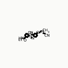 CCNC(=O)c1ccc(C)c(-n2cnc3ccc(OCCN(C)CCC#N)cc3c2=O)c1